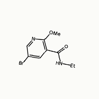 CCNC(=O)c1cc(Br)cnc1OC